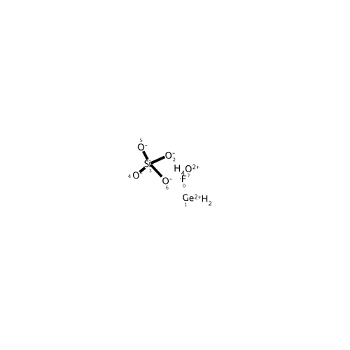 [F].[GeH2+2].[O-][Si]([O-])([O-])[O-].[OH4+2]